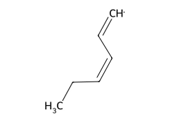 [CH]=C/C=C\CC